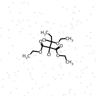 CCOC(=O)C(Cl)(C(=O)OCC)C(Cl)(CC)OCC